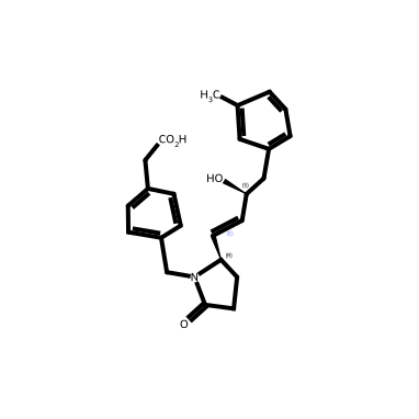 Cc1cccc(C[C@H](O)/C=C/[C@H]2CCC(=O)N2Cc2ccc(CC(=O)O)cc2)c1